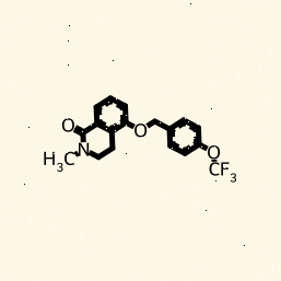 CN1CCc2c(OCc3ccc(OC(F)(F)F)cc3)cccc2C1=O